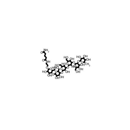 CC(=O)NC1C(OC2C(O)C(CO)OC(OC3C(CO)OC(OC4C(CO)OC(OCCNC(=O)CCCC(N)=O)C(O)C4O)C(O)C3O)C2O)OC(CO)C(O)C1OC1OC(CO)C(O)C(O)C1OC1OC(C)C(O)C(O)C1O